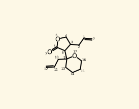 C=CCC1COC(=O)C1C1(CC=C)CCCCO1